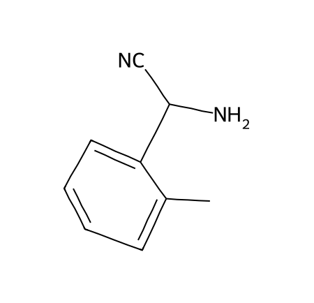 Cc1ccccc1C(N)C#N